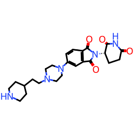 O=C1CC[C@H](N2C(=O)c3ccc(N4CCN(CCC5CCNCC5)CC4)cc3C2=O)C(=O)N1